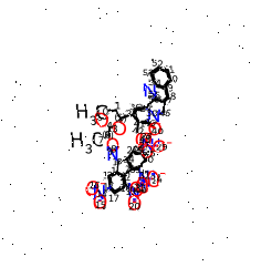 CC[C@H](OC(=O)[C@@H](C)ON=C1c2cc([N+](=O)[O-])cc([N+](=O)[O-])c2-c2c1cc([N+](=O)[O-])cc2[N+](=O)[O-])c1cc2n(c(=O)c1COC=O)Cc1cc3ccccc3nc1-2